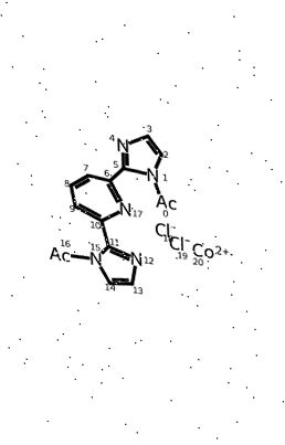 CC(=O)n1ccnc1-c1cccc(-c2nccn2C(C)=O)n1.[Cl-].[Cl-].[Co+2]